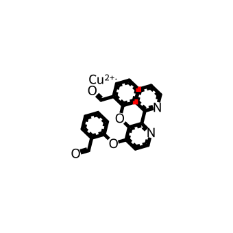 O=Cc1ccccc1Oc1ccnc(-c2ccccn2)c1Oc1ccccc1C=O.[Cu+2]